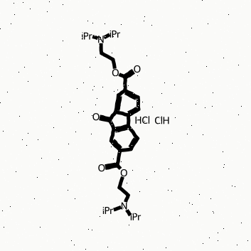 CC(C)N(CCOC(=O)c1ccc2c(c1)C(=O)c1cc(C(=O)OCCN(C(C)C)C(C)C)ccc1-2)C(C)C.Cl.Cl